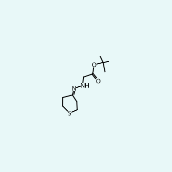 CC(C)(C)OC(=O)CNN=C1CCSCC1